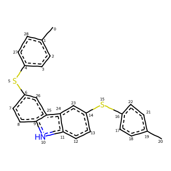 Cc1ccc(Sc2ccc3[nH]c4ccc(Sc5ccc(C)cc5)cc4c3c2)cc1